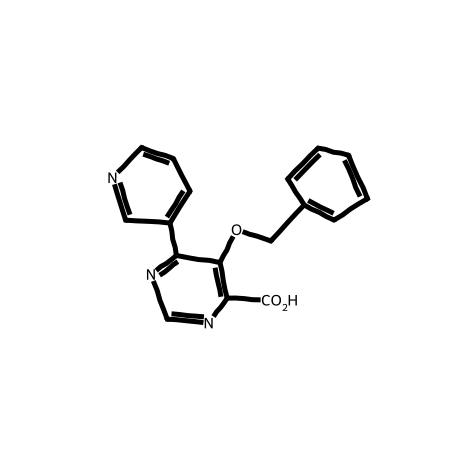 O=C(O)c1ncnc(-c2cccnc2)c1OCc1ccccc1